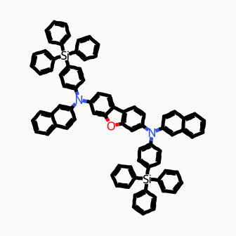 c1ccc([Si](c2ccccc2)(c2ccccc2)c2ccc(N(c3ccc4ccccc4c3)c3ccc4c(c3)oc3cc(N(c5ccc([Si](c6ccccc6)(c6ccccc6)c6ccccc6)cc5)c5ccc6ccccc6c5)ccc34)cc2)cc1